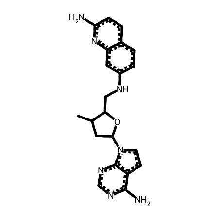 CC1CC(n2ccc3c(N)ncnc32)OC1CNc1ccc2ccc(N)nc2c1